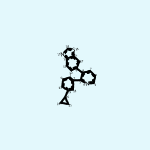 c1cc(-c2ncccc2-c2ccc3ncsc3c2)cc(C2CC2)c1